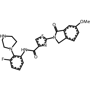 COc1ccc2c(c1)C(=O)N(c1nc(C(=O)Nc3cccc(F)c3N3CCNCC3)cs1)C2